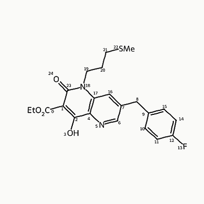 CCOC(=O)c1c(O)c2ncc(Cc3ccc(F)cc3)cc2n(CCCSC)c1=O